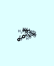 C[C@@H](NC(=O)[C@@H]1C[C@@H](S(C)(=O)=O)CN1C(=O)CNC(=O)c1ccc(C(F)(F)c2ccccc2)cc1)c1cc(C(=N)N)cs1